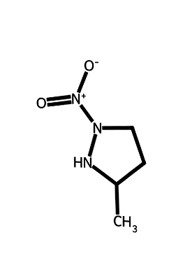 CC1CCN([N+](=O)[O-])N1